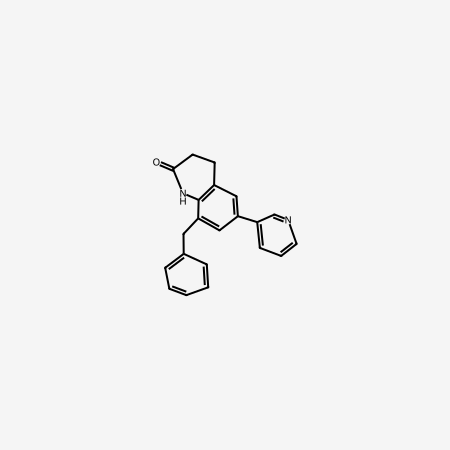 O=C1CCc2cc(-c3cccnc3)cc(Cc3ccccc3)c2N1